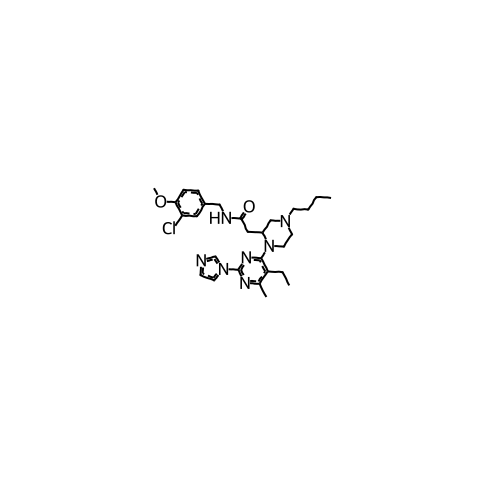 CCCCN1CCN(c2nc(-n3ccnc3)nc(C)c2CC)C(CC(=O)NCc2ccc(OC)c(Cl)c2)C1